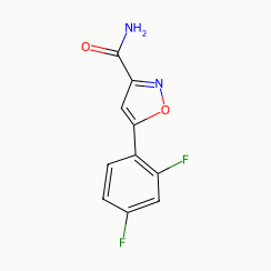 NC(=O)c1cc(-c2ccc(F)cc2F)on1